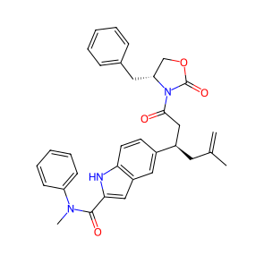 C=C(C)C[C@H](CC(=O)N1C(=O)OC[C@H]1Cc1ccccc1)c1ccc2[nH]c(C(=O)N(C)c3ccccc3)cc2c1